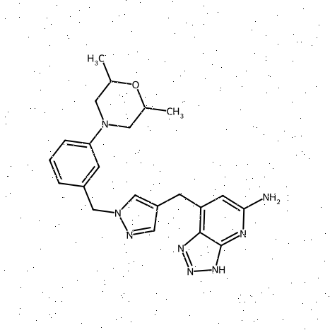 CC1CN(c2cccc(Cn3cc(Cc4cc(N)nc5[nH]nnc45)cn3)c2)CC(C)O1